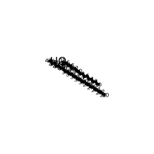 CCCCCCCCCCCCCCCCCC(=O)O.CCCCCCCCCCCCCCCCCCCCCCCCCCCC